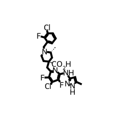 Cc1cc(Nc2nc(C[C@@]3(C(=O)O)CCN(Cc4cccc(Cl)c4F)[C@H](C)C3)c(F)c(Cl)c2F)n[nH]1